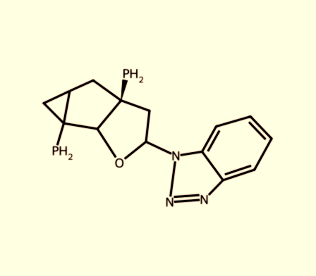 PC12CC1C[C@]1(P)CC(n3nnc4ccccc43)OC21